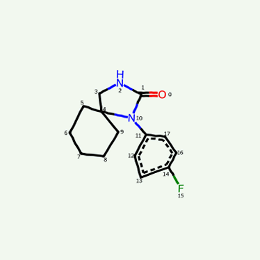 O=C1NCC2(CCCCC2)N1c1ccc(F)cc1